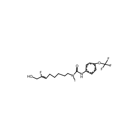 O=C(Nc1ccc(OC(F)(F)F)cc1)N(I)CCCCCC=C(F)CO